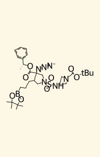 C[C@@H](OC(=O)C1(N=[N+]=[N-])CN(S(=O)(=O)NC2CN(C(=O)OC(C)(C)C)C2)CC1CCCB1OC(C)(C)C(C)(C)O1)c1ccccc1